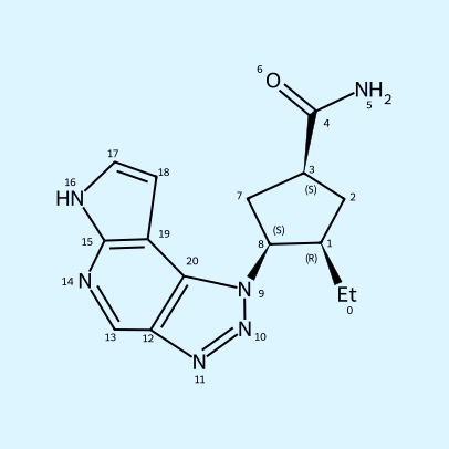 CC[C@@H]1C[C@H](C(N)=O)C[C@@H]1n1nnc2cnc3[nH]ccc3c21